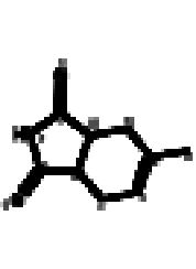 CC1=CCC2C(=O)NC(=O)C2C1